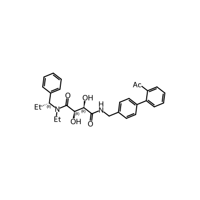 CC[C@H](c1ccccc1)N(CC)C(=O)[C@H](O)[C@@H](O)C(=O)NCc1ccc(-c2ccccc2C(C)=O)cc1